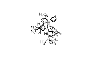 COC(=O)[C@@H](NC(=O)[C@@H]1[C@@H]2[C@H](CN1C(=O)[C@@H](NC(=O)OC(C)(C)C)C(C)(C)C)C2(C)C)c1cccnc1